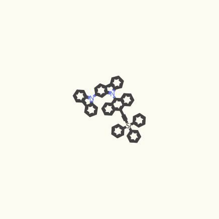 C(#C[Si](c1ccccc1)(c1ccccc1)c1ccccc1)c1c2ccccc2c(-n2c3ccccc3c3ccc(-n4c5ccccc5c5ccccc54)cc32)c2ccccc12